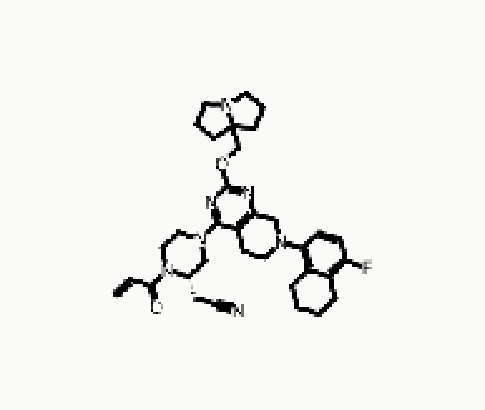 C=CC(=O)N1CCN(c2nc(OCC34CCCN3CCC4)nc3c2CCN(c2ccc(F)c4c2CCCC4)C3)C[C@@H]1CC#N